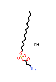 CCCCCCCCCCCCCCOS(=O)(=O)OC(=O)CCN.[KH]